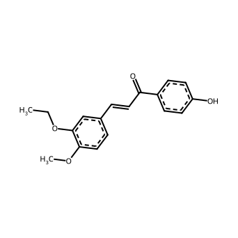 CCOc1cc(C=CC(=O)c2ccc(O)cc2)ccc1OC